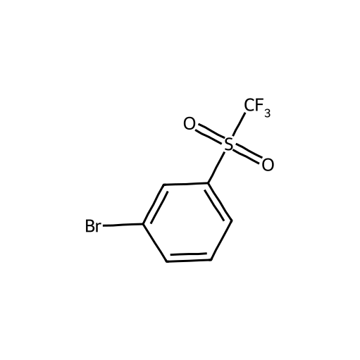 O=S(=O)(c1cccc(Br)c1)C(F)(F)F